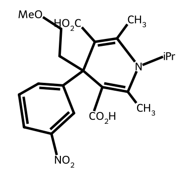 COCCC1(c2cccc([N+](=O)[O-])c2)C(C(=O)O)=C(C)N(C(C)C)C(C)=C1C(=O)O